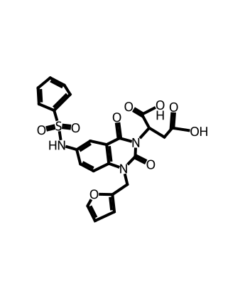 O=C(O)CC(C(=O)O)n1c(=O)c2cc(NS(=O)(=O)c3ccccc3)ccc2n(Cc2ccco2)c1=O